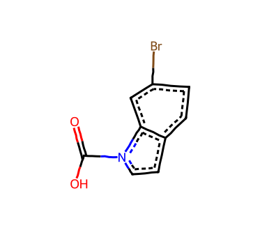 O=C(O)n1ccc2ccc(Br)cc21